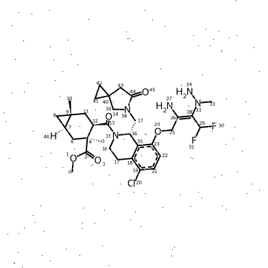 COC(=O)[C@@]1(C)C[C@H]2C[C@]2(C)C[C@H]1C(=O)N1CCc2c(Cl)ccc(OC/C(N)=C(\C(F)F)N(C)N)c2[C@H]1CN1CC2(CC2)CC1=O